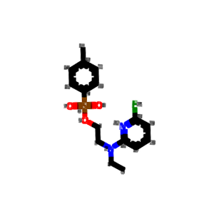 CCN(CCOS(=O)(=O)c1ccc(C)cc1)c1cccc(F)n1